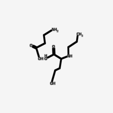 CCCNC(CCO)C(=O)O.NCCC(=O)O